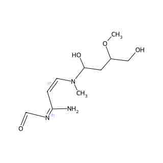 COC(CO)CC(O)N(C)/C=C\C(N)=N/C=O